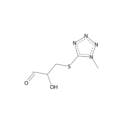 Cn1nnnc1SCC(O)[C]=O